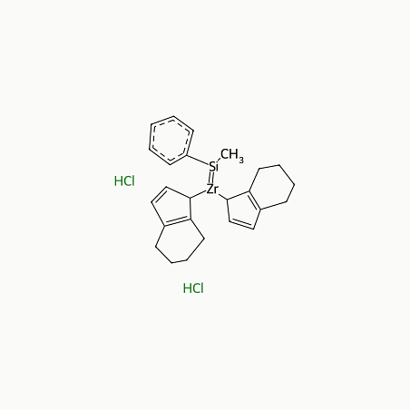 C[Si](c1ccccc1)=[Zr]([CH]1C=CC2=C1CCCC2)[CH]1C=CC2=C1CCCC2.Cl.Cl